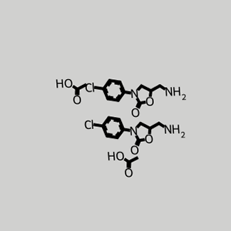 CC(=O)O.CC(=O)O.NCC1CN(c2ccc(Cl)cc2)C(=O)O1.NCC1CN(c2ccc(Cl)cc2)C(=O)O1